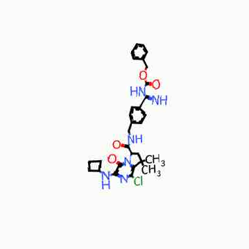 CC1(C)CC(C(=O)NCc2ccc(C(=N)NC(=O)OCc3ccccc3)cc2)n2c1c(Cl)nc(NC1CCC1)c2=O